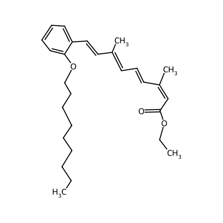 CCCCCCCCCOc1ccccc1/C=C/C(C)=C/C=C/C(C)=C\C(=O)OCC